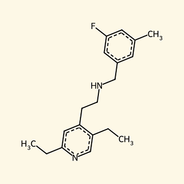 CCc1cc(CCNCc2cc(C)cc(F)c2)c(CC)cn1